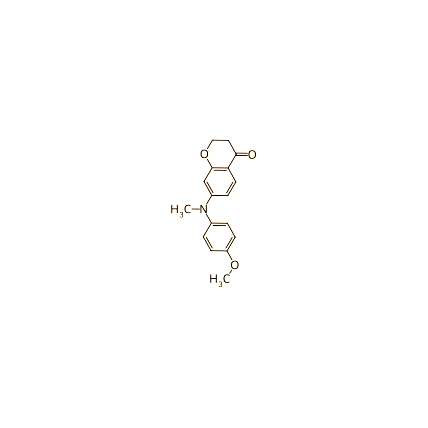 COc1ccc(N(C)c2ccc3c(c2)OCCC3=O)cc1